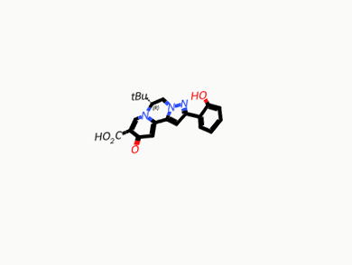 CC(C)(C)[C@@H]1Cn2nc(-c3ccccc3O)cc2-c2cc(=O)c(C(=O)O)cn21